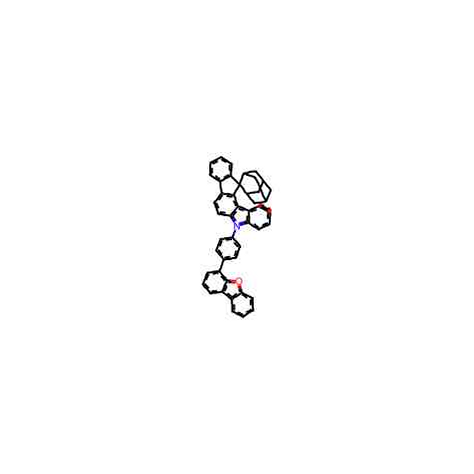 c1ccc2c(c1)-c1ccc3c(c1C21C2CC4CC(C2)CC1C4)c1c2ccccc2ccc1n3-c1ccc(-c2cccc3c2oc2ccccc23)cc1